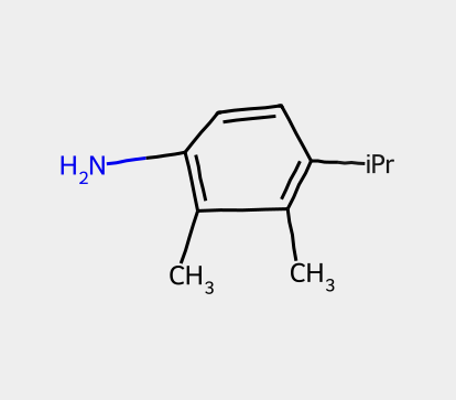 Cc1c(N)ccc(C(C)C)c1C